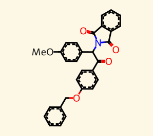 COc1ccc(C(C(=O)c2ccc(OCc3ccccc3)cc2)N2C(=O)c3ccccc3C2=O)cc1